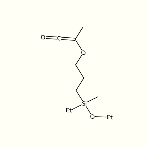 CCO[Si](C)(CC)CCCOC(C)=C=O